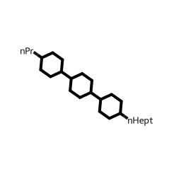 CCCCCCCC1CCC(C2CCC(C3CCC(CCC)CC3)CC2)CC1